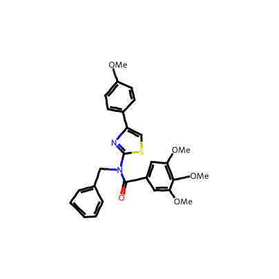 COc1ccc(-c2csc(N(Cc3ccccc3)C(=O)c3cc(OC)c(OC)c(OC)c3)n2)cc1